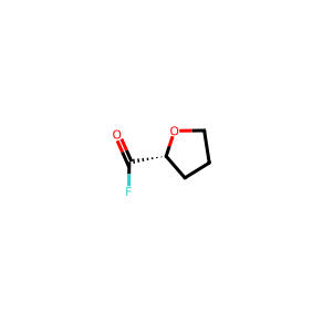 O=C(F)[C@H]1CCCO1